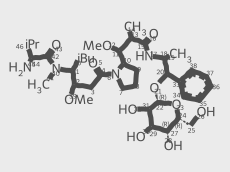 CCC(C)C(C(CC(=O)N1CCCC1C(OC)C(C)C(=O)NC(C)C(O[C@@H]1O[C@H](CO)[C@H](O)C(O)C1O)c1ccccc1)OC)N(C)C(=O)C(N)C(C)C